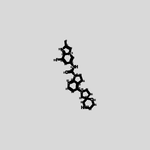 Cc1cn2cc(NC(=O)N3CCc4c(N5CC[C@@]6(CNCCO6)C5)ccnc43)cc(F)c2n1